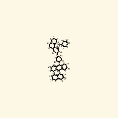 c1ccc(-n2c3cccc4ccc5cc(-c6ccc(-c7c8ccccc8c(-c8cccc9ccccc89)c8ccccc78)cc6)cc2c5c43)cc1